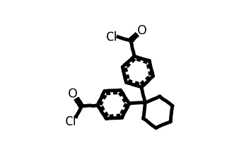 O=C(Cl)c1ccc(C2(c3ccc(C(=O)Cl)cc3)CCCCC2)cc1